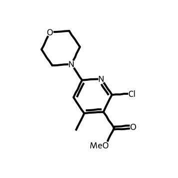 COC(=O)c1c(C)cc(N2CCOCC2)nc1Cl